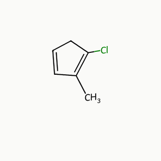 CC1=C(Cl)CC=C1